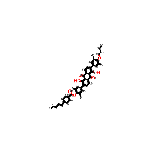 CCCCCC1CCC(C(=O)Oc2c(C)cc(-c3ccc4c(c3O)C(=O)c3ccc(-c5cc(C)c(OCCCC)c(C)c5)c(O)c3C4=O)cc2C)CC1